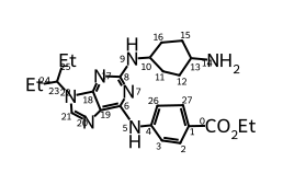 CCOC(=O)c1ccc(Nc2nc(NC3CCC(N)CC3)nc3c2ncn3C(CC)CC)cc1